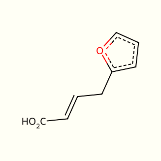 O=C(O)/C=C/Cc1ccco1